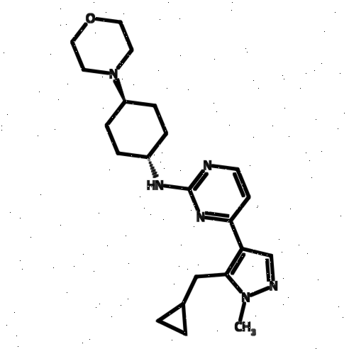 Cn1ncc(-c2ccnc(N[C@H]3CC[C@H](N4CCOCC4)CC3)n2)c1CC1CC1